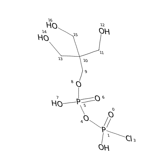 O=P(O)(Cl)OP(=O)(O)OCC(CO)(CO)CO